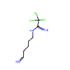 N=CCCCCNC(=N)C(Cl)(Cl)Cl